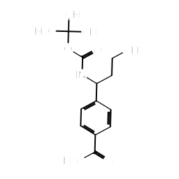 CCCC(NC(=O)OC(C)(C)C)c1ccc(C(C)=O)cc1